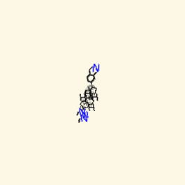 C=C/N=N\N(C=C)[C@H]1CC[C@@]2(C)[C@@H](CC[C@@H]3[C@@H]2CC[C@]2(C)[C@@H](c4ccc5ccncc5c4)CC[C@@H]32)C1